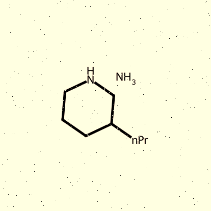 CCCC1CCCNC1.N